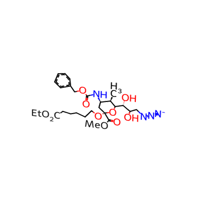 CCOC(=O)CCCCCO[C@]1(C(=O)OC)C[C@@H](NC(=O)OCc2ccccc2)[C@@H](C)C([C@H](O)[C@H](O)CN=[N+]=[N-])O1